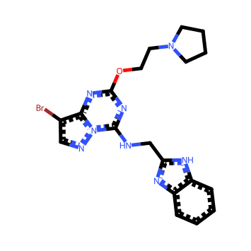 Brc1cnn2c(NCc3nc4ccccc4[nH]3)nc(OCCN3CCCC3)nc12